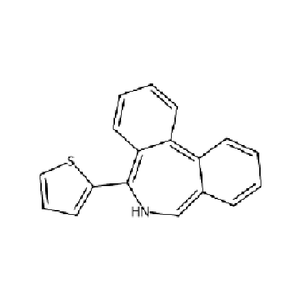 C1=c2ccccc2=c2ccccc2=C(c2cccs2)N1